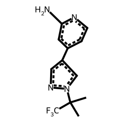 CC(C)(n1cc(-c2ccnc(N)c2)cn1)C(F)(F)F